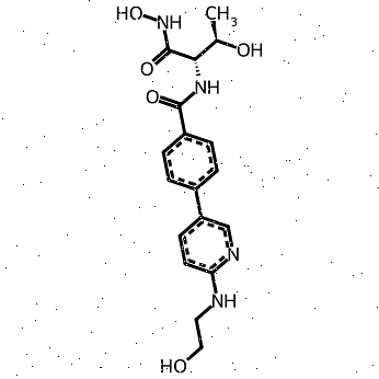 C[C@@H](O)[C@H](NC(=O)c1ccc(-c2ccc(NCCO)nc2)cc1)C(=O)NO